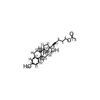 CC(=O)OCCCC#C[C@]1(O)CC[C@H]2[C@@H]3CCc4cc(O)ccc4[C@H]3CC[C@@]21C